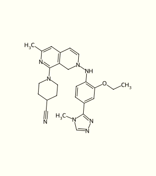 CCOc1cc(-c2nncn2C)ccc1NN1C=Cc2cc(C)nc(N3CCC(C#N)CC3)c2C1